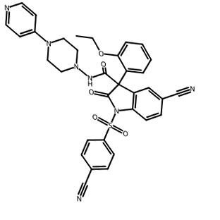 CCOc1ccccc1C1(C(=O)NN2CCN(c3ccncc3)CC2)C(=O)N(S(=O)(=O)c2ccc(C#N)cc2)c2ccc(C#N)cc21